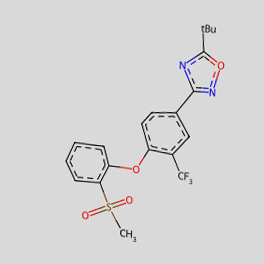 CC(C)(C)c1nc(-c2ccc(Oc3ccccc3S(C)(=O)=O)c(C(F)(F)F)c2)no1